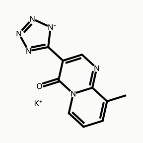 Cc1cccn2c(=O)c(-c3nnn[n-]3)cnc12.[K+]